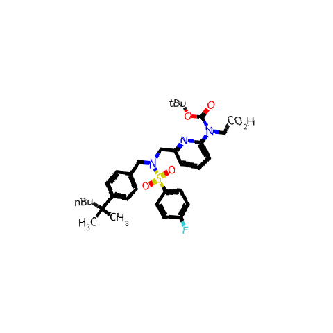 CCCCC(C)(C)c1ccc(CN(Cc2cccc(N(CC(=O)O)C(=O)OC(C)(C)C)n2)S(=O)(=O)c2ccc(F)cc2)cc1